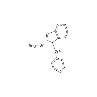 C1=C[CH]([Zr+3][c]2ccccc2)c2ccccc21.[Br-].[Br-].[Br-]